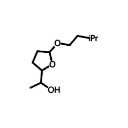 CC(C)CCOC1CCC(C(C)O)O1